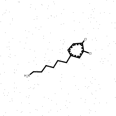 NCCCCCCc1ccc(Cl)c(Cl)c1